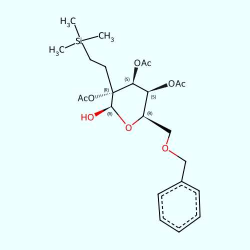 CC(=O)O[C@H]1[C@@H](COCc2ccccc2)O[C@@H](O)[C@](CC[Si](C)(C)C)(OC(C)=O)[C@H]1OC(C)=O